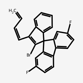 C=C/C=C\C1=C(Br)C2(c3ccccc31)c1cc(F)ccc1-c1ccc(F)cc12